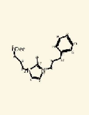 CCCCCCCCCCCCCn1cc[n+](CCCc2ccccc2)c1C